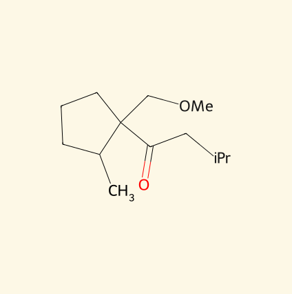 COCC1(C(=O)CC(C)C)CCCC1C